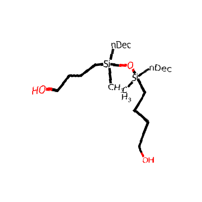 CCCCCCCCCC[Si](C)(CCCCO)O[Si](C)(CCCCO)CCCCCCCCCC